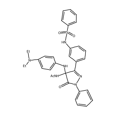 CCN(CC)c1ccc(NC2(NC(C)=O)C(=O)N(c3ccccc3)N=C2c2cccc(NS(=O)(=O)c3ccccc3)c2)cc1